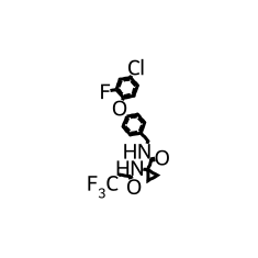 O=C(CC(F)(F)F)NC1(C(=O)NCc2ccc(Oc3ccc(Cl)cc3F)cc2)CC1